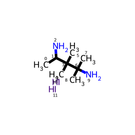 CC(N)C(C)(C)C(C)(C)N.I.I